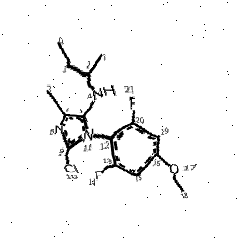 CCC(C)Nc1c(C)nc(Cl)n1-c1c(F)cc(OC)cc1F